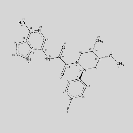 CO[C@@H]1C[C@@H](c2ccc(F)cc2)N(C(=O)C(=O)Nc2cnc(N)c3cn[nH]c23)C[C@@H]1C